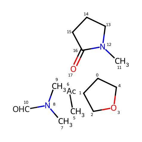 C1CCOC1.CC(C)=O.CN(C)C=O.CN1CCCC1=O